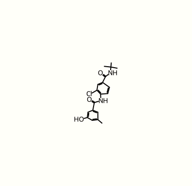 Cc1cc(O)cc(C(=O)Nc2ccc(C(=O)NC(C)(C)C)cc2Cl)c1